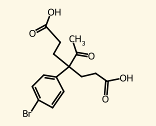 CC(=O)C(CCC(=O)O)(CCC(=O)O)c1ccc(Br)cc1